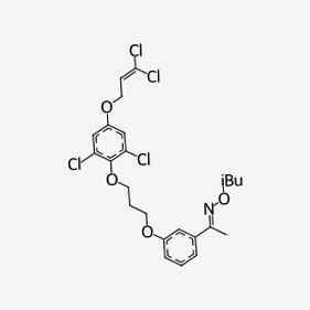 CCC(C)ON=C(C)c1cccc(OCCCOc2c(Cl)cc(OCC=C(Cl)Cl)cc2Cl)c1